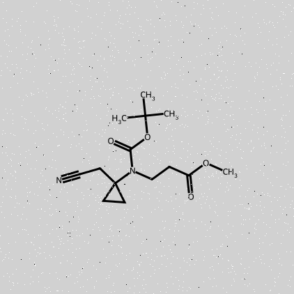 COC(=O)CCN(C(=O)OC(C)(C)C)C1(CC#N)CC1